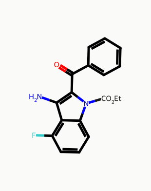 CCOC(=O)n1c(C(=O)c2ccccc2)c(N)c2c(F)cccc21